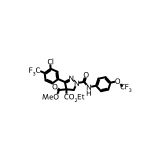 CCOC(=O)C1(C(=O)OC)CN(C(=O)Nc2ccc(OC(F)(F)F)cc2)N=C1c1ccc(C(F)(F)F)c(Cl)c1